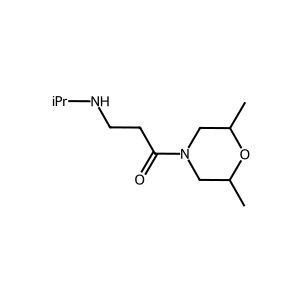 CC(C)NCCC(=O)N1CC(C)OC(C)C1